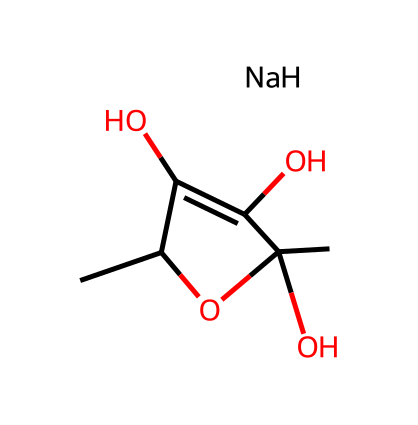 CC1OC(C)(O)C(O)=C1O.[NaH]